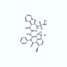 C#Cc1ccc2c3c(c([C@@H](C)NC(=O)c4c(NS(=O)(=O)NCC)nn5cccnc45)n(-c4ccccc4)c(=O)c13)[C@H]1C[C@@H]21